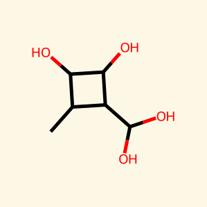 CC1C(O)C(O)C1C(O)O